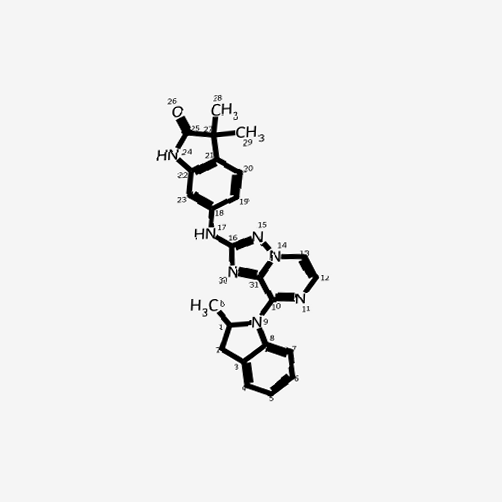 CC1Cc2ccccc2N1c1nccn2nc(Nc3ccc4c(c3)NC(=O)C4(C)C)nc12